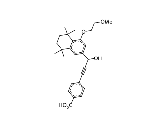 COCCOc1cc(C(O)C#Cc2ccc(C(=O)O)cc2)cc2c1C(C)(C)CCC2(C)C